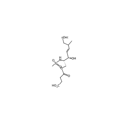 CCCCCCCCCCCC(C)/C=C/[C@@H](O)[C@H](COC(=O)CCC(=O)O)NS(C)(=O)=O